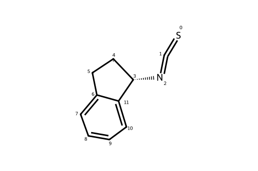 S=C=N[C@H]1[CH]Cc2ccccc21